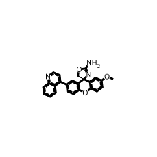 COc1ccc2c(c1)[C@]1(COC(N)=N1)c1cc(-c3ccnc4ccccc34)ccc1O2